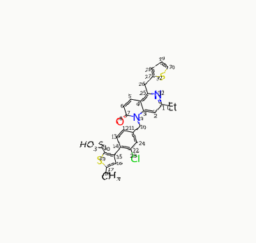 CCc1cc2c(ccc(=O)n2Cc2ccc(-c3cc(C)sc3S(=O)(=O)O)c(Cl)c2)c(Cc2cccs2)n1